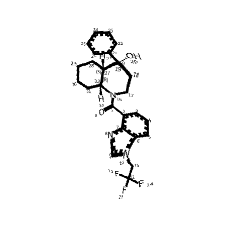 O=C(c1cccc2c1ncn2CC(F)(F)F)N1CC[C@](O)(c2ccccc2)[C@H]2CCCC[C@H]21